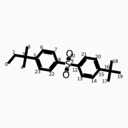 CCC(C)(C)c1ccc(S(=O)(=O)c2ccc(C(C)(C)C)cc2)cc1